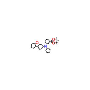 CC1(C)OB(c2cccc(N(c3ccccc3)c3ccc4c(c3)oc3ccccc34)c2)OC1(C)C